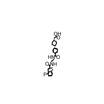 O=C(O)C[C@H]1CC[C@H](c2ccc(C(=O)NCCNC(=O)c3cc4c(F)cccc4s3)cc2)CC1